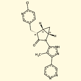 Cc1c(-c2ccnnc2)n[nH]c1N1C(=O)[C@H](Cc2ccc(Cl)nc2)[C@@H]2C[C@@H]21